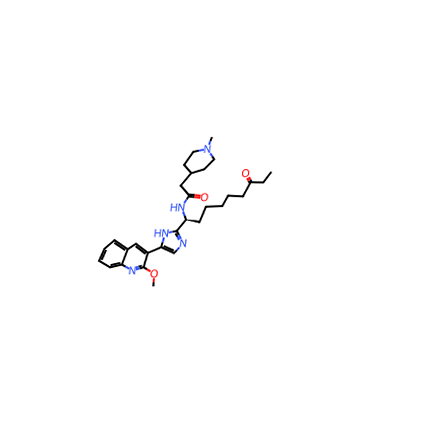 CCC(=O)CCCCC[C@H](NC(=O)CC1CCN(C)CC1)c1ncc(-c2cc3ccccc3nc2OC)[nH]1